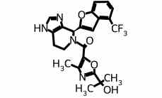 Cc1nc(C(C)(C)O)oc1C(=O)N1CCc2[nH]cnc2[C@H]1c1cc2c(C(F)(F)F)cccc2o1